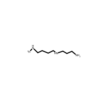 [2H]NCCCCNCCCN